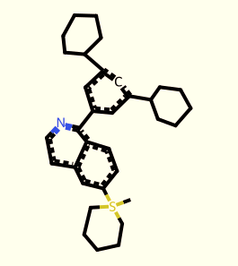 CS1(c2ccc3c(-c4cc(C5CCCCC5)cc(C5CCCCC5)c4)nccc3c2)CCCCC1